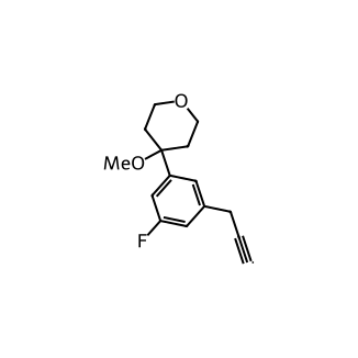 [C]#CCc1cc(F)cc(C2(OC)CCOCC2)c1